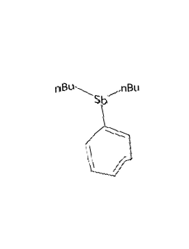 CCC[CH2][Sb]([CH2]CCC)[c]1ccccc1